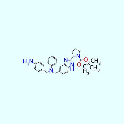 CC(C)(C)OC(=O)N1CCCC1c1nc2cc(CN(Cc3ccc(N)cc3)c3ccccc3)ccc2[nH]1